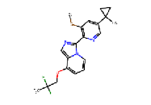 CCSc1cc(C2(C#N)CC2)cnc1-c1ncc2c(OCC(F)(F)C(F)(F)F)cccn12